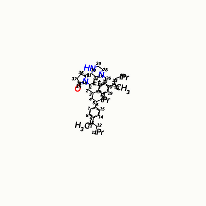 CCC(CC(CC(c1ccc(C(C)CC(C)C)cc1)C(C)C)c1ccc(C(C)CC(C)C)c(CN2CCNCC2)c1)N1CCCC1=O